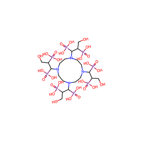 O=P(O)(O)C(CO)C(N1CCN(C(C(CO)P(=O)(O)O)P(=O)(O)O)CCN(C(C(CO)P(=O)(O)O)P(=O)(O)O)CCN(C(C(CO)P(=O)(O)O)P(=O)(O)O)CC1)P(=O)(O)O